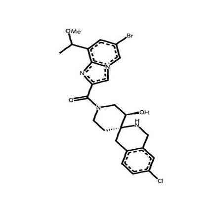 COC(C)c1cc(Br)cn2cc(C(=O)N3CC[C@]4(Cc5ccc(Cl)cc5CN4)[C@H](O)C3)nc12